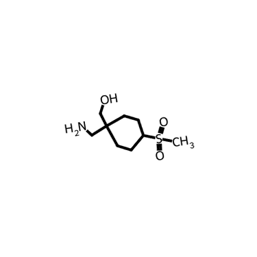 CS(=O)(=O)C1CCC(CN)(CO)CC1